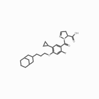 O=C(O)C1CC=NN1C(=O)c1cc(C2CC2)c(OCCCC2CC3CCCC(C2)C3)cc1F